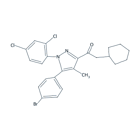 Cc1c(C(=O)CC2CCCCC2)nn(-c2ccc(Cl)cc2Cl)c1-c1ccc(Br)cc1